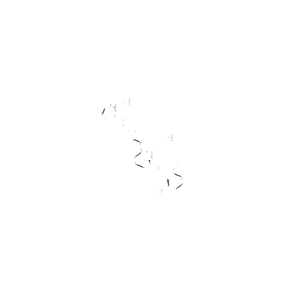 CN1C=CSC1CCOC=C(C(=O)O)c1cccc(CSc2c(Cl)cccc2Cl)n1